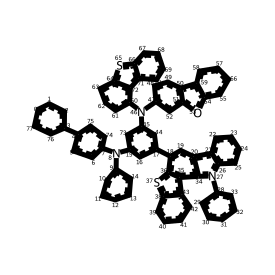 c1ccc(-c2ccc(N(c3ccccc3)c3cc(-c4cc5c6ccccc6n(-c6ccccc6)c5c5c4sc4ccccc45)cc(N(c4ccc5c(c4)oc4ccccc45)c4cccc5sc6ccccc6c45)c3)cc2)cc1